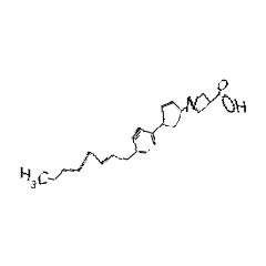 CCCCCCCCc1ccc(C2CCC(N3CC(C(=O)O)C3)C2)cc1